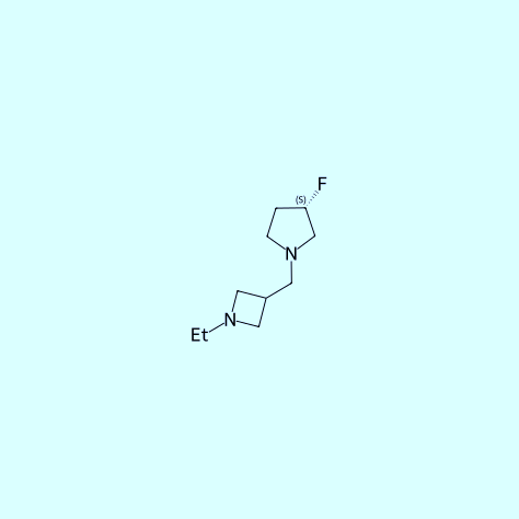 CCN1CC(CN2CC[C@H](F)C2)C1